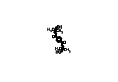 CC(C)(CO)CCC(=O)c1ccc(C(=O)CCC(C)(C)CO)cc1